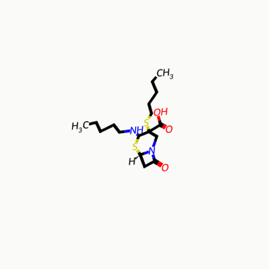 CCCCCNC1S[C@@H]2CC(=O)N2CC1(SCCCCC)C(=O)O